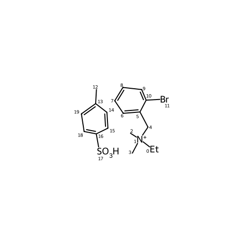 CC[N+](C)(C)Cc1ccccc1Br.Cc1ccc(S(=O)(=O)O)cc1